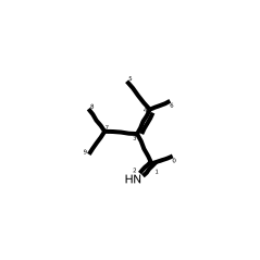 CC(=N)C(=C(C)C)C(C)C